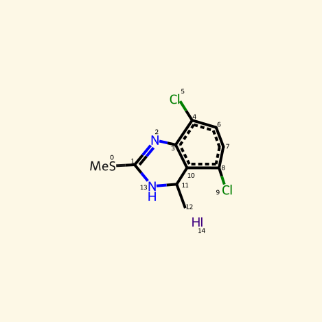 CSC1=Nc2c(Cl)ccc(Cl)c2C(C)N1.I